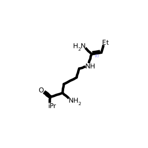 CC/C=C(\N)NCCCC(N)C(=O)C(C)C